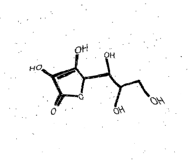 O=C1OC(C(O)C(O)CO)C(O)=C1O